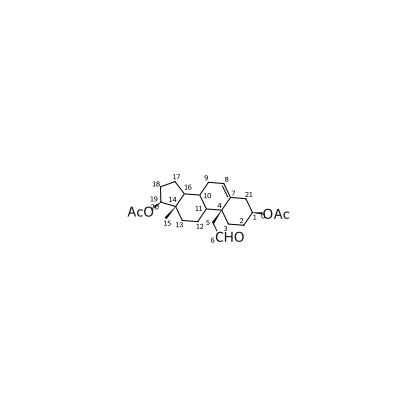 CC(=O)O[C@H]1CC[C@@]2(CC=O)C(=CCC3C2CC[C@@]2(C)C3CC[C@@H]2OC(C)=O)C1